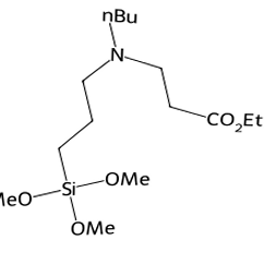 CCCCN(CCC[Si](OC)(OC)OC)CCC(=O)OCC